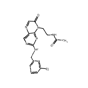 CC(=O)NCCn1c(=O)cnc2cnc(NCc3cccc(Cl)c3)nc21